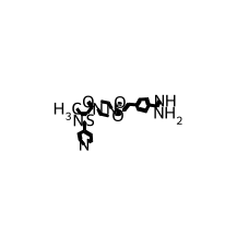 Cc1nc(-c2ccncc2)sc1C(=O)N1CCN(S(=O)(=O)/C=C/c2ccc(C(=N)N)cc2)CC1